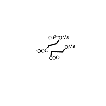 COCCC(=O)[O-].COCCC(=O)[O-].[Cu+2]